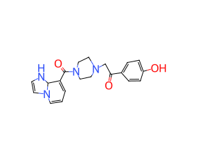 O=C(CN1CCN(C(=O)C2=CC=CN3C=CNC23)CC1)c1ccc(O)cc1